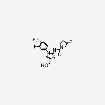 O=C(/N=c1\sc(CO)cn1-c1ccc(C(F)(F)F)c(F)c1)N1CC[C@@H](F)C1